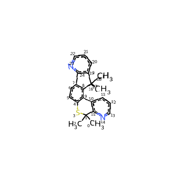 CC1(C)Sc2ccc3c(c2-c2cccnc21)C(C)(C)c1cccnc1-3